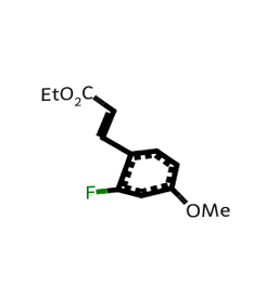 CCOC(=O)C=Cc1ccc(OC)cc1F